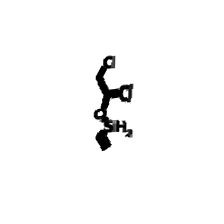 C=C[SiH2]OC(Cl)CCl